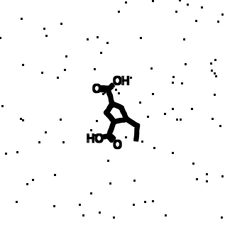 CCC1CC(C(=O)O)CC1C(=O)O